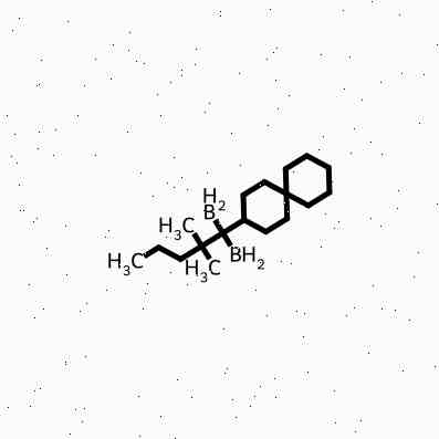 BC(B)(C1CCC2(CCCCC2)CC1)C(C)(C)CCC